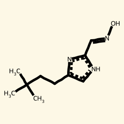 CC(C)(C)CCc1c[nH]c(C=NO)n1